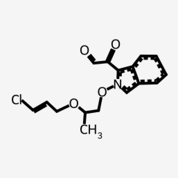 CC(COn1cc2ccccc2c1C(=O)C=O)OCC=CCl